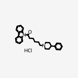 Cl.O=C(CCCCCN1CCC(c2ccccc2)CC1)n1c2ccccc2c2ccccc21